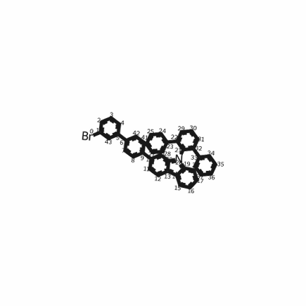 Brc1cccc(-c2ccc(-c3ccc4c5ccccc5n(-c5c(-c6ccccc6)cccc5-c5ccccc5)c4c3)cc2)c1